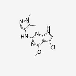 COc1nc(Nc2cnn(C)c2C)nc2[nH]cc(Cl)c12